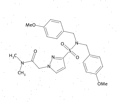 COc1ccc(CN(Cc2ccc(OC)cc2)S(=O)(=O)c2ccn(CC(=O)N(C)C)n2)cc1